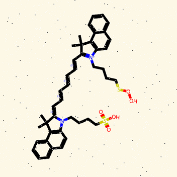 CC1(C)C(/C=C/C=C/C=C/C=C2\N(CCCCS(=O)(=O)O)c3ccc4ccccc4c3C2(C)C)=[N+](CCCCSOO)c2ccc3ccccc3c21